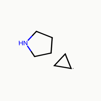 C1CCNC1.[CH]1CC1